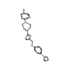 CCc1cnc(N2CCC(c3nc(COc4ccc(-n5cccc5)cc4)cs3)CC2)nc1